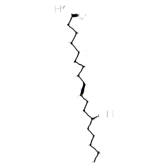 CCCCCC(O)CC/C=C/CCCCCCCC(=O)O